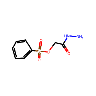 NNC(=O)COS(=O)(=O)c1ccccc1